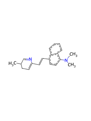 CC1C=NC(/C=C/c2ccc(N(C)C)c3ccccc23)=CC1